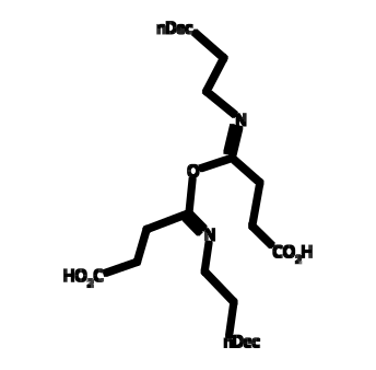 CCCCCCCCCCCCN=C(CCC(=O)O)OC(CCC(=O)O)=NCCCCCCCCCCCC